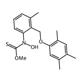 COC(=S)N(O)c1cccc(C)c1COc1cc(C)c(C)cc1C